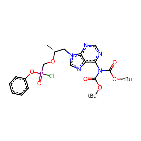 C[C@H](Cn1cnc2c(N(C(=O)OC(C)(C)C)C(=O)OC(C)(C)C)ncnc21)OCP(=O)(Cl)Oc1ccccc1